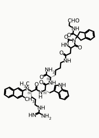 Cc1cc2ccccc2cc1N(C)[C@@H](CCCNC(=N)N)C(=O)N[C@@H](Cc1c[nH]c2ccccc12)C(=O)N[C@@H](CCCCNC(=O)CC1NC(=O)N(C2(C(=O)NCC=O)Cc3ccccc3C2)C1=O)C(N)=O